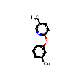 Cc1ccc(Oc2cccc(C(C)(C)C)c2)nc1